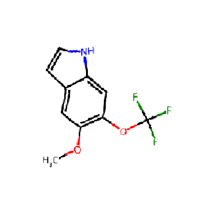 COc1cc2cc[nH]c2cc1OC(F)(F)F